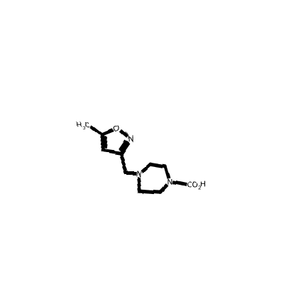 Cc1cc(CN2CCN(C(=O)O)CC2)no1